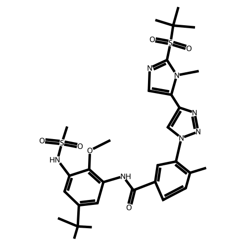 COc1c(NC(=O)c2ccc(C)c(-n3cc(-c4cnc(S(=O)(=O)C(C)(C)C)n4C)nn3)c2)cc(C(C)(C)C)cc1NS(C)(=O)=O